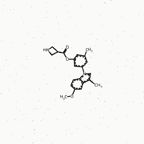 COc1ccc2c(c1)c(C)cn2-c1cc(C)cc(OC(=O)C2CNC2)c1